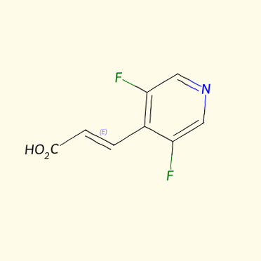 O=C(O)/C=C/c1c(F)cncc1F